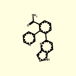 NC(=O)c1cccc(-c2ccc3[nH]ncc3n2)c1-c1cccnc1